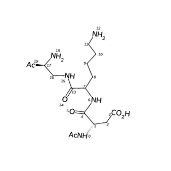 CC(=O)N[C@@H](CC(=O)O)C(=O)NC(CCCCN)C(=O)NC[C@H](N)C(C)=O